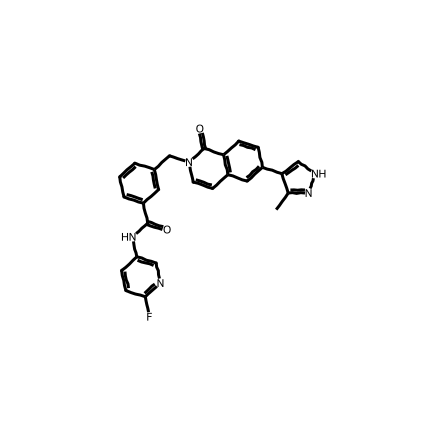 Cc1n[nH]cc1-c1ccc2c(=O)n(Cc3cccc(C(=O)Nc4ccc(F)nc4)c3)ccc2c1